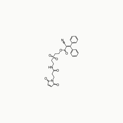 N#CC(C(=O)OCCS(=O)(=O)CCNC(=O)CCN1C(=O)C=CC1=O)=C(c1ccccc1)c1ccccc1